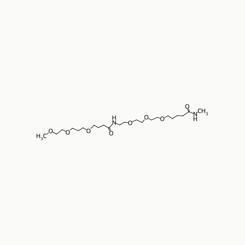 CNC(=O)CCCCOCCOCCOCCNC(=O)CCCOCCCOCCOC